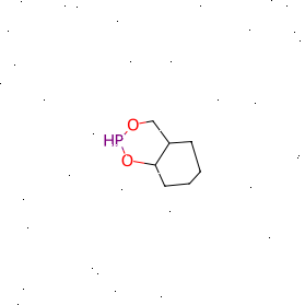 C1CCC2OPOCC2C1